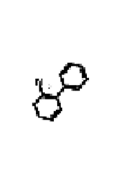 BC1=C(c2ccccc2)C=CCC1